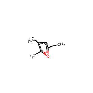 Cc1cc(C)c(C(F)(F)F)o1